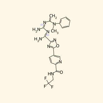 C=C(/N=C(N)\N=C(/N)c1noc(-c2ccc(C(=O)NCC(F)(F)F)nc2)n1)N(C)c1ccccc1